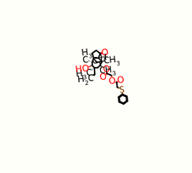 C=C[C@]1(C)C[C@@H](OC(=O)COC(=O)CSc2ccccc2)[C@]2(C)[C@H](C)CC[C@]3(CCC(=O)[C@H]32)[C@@H](C)[C@@H]1O